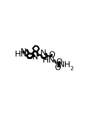 NS(=O)(=O)CCNC(=O)c1ccc(-c2nc3ccc4[nH]ncc4c3c3c2CCCC3)nc1